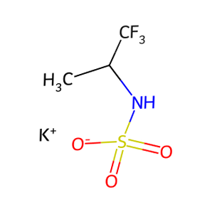 CC(NS(=O)(=O)[O-])C(F)(F)F.[K+]